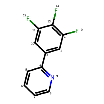 Fc1cc(-c2[c]cccn2)cc(F)c1F